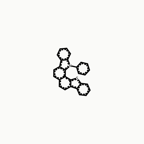 c1ccc(-n2c3ccccc3c3ccc4ccc5c6ccccc6sc5c4c32)cc1